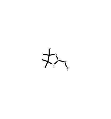 CC(C)NN1OC(C)(C)C(C)(C)O1